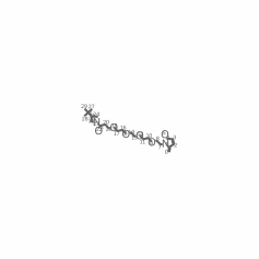 C=C1C=CC(=O)N1CCOCCOCCOCCOCCC(=O)N1CC(C(C)(C)C)C1